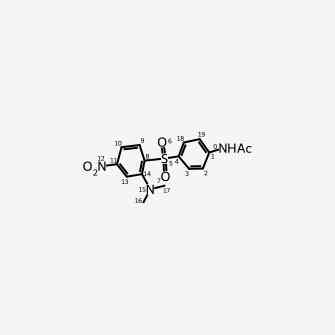 CC(=O)Nc1ccc(S(=O)(=O)c2ccc([N+](=O)[O-])cc2N(C)C)cc1